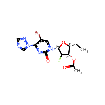 CC[C@H]1O[C@@H](n2cc(Br)c(-n3cncn3)nc2=O)C(F)[C@H]1OC(C)=O